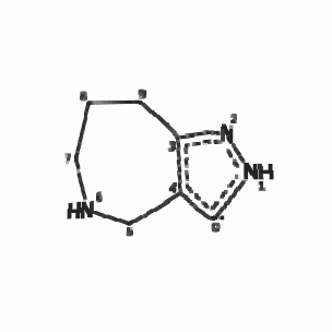 [c]1[nH]nc2c1CNCCC2